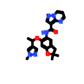 CC(Oc1cc2c(cc1NC(=O)c1cnn3cccnc13)CC(C)(C)O2)c1cnn(C)c1